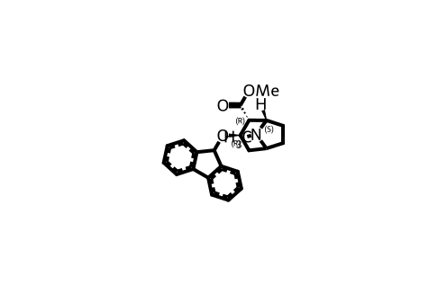 COC(=O)[C@H]1[C@H](OC2c3ccccc3-c3ccccc32)CC2CC[C@@H]1N2C